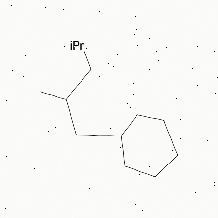 CC(C)CC(C)CC1CCCCC1